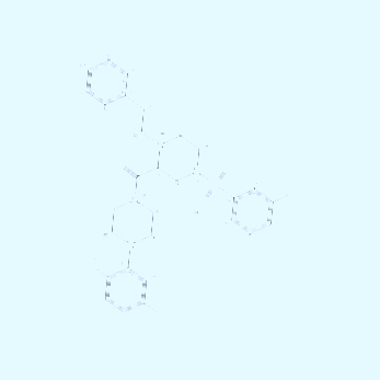 Cc1ccc(C)c(N2CCN(C(=O)C3CN(S(=O)(=O)c4cccc(Cl)c4)CCN3CCc3ccccc3)CC2)c1